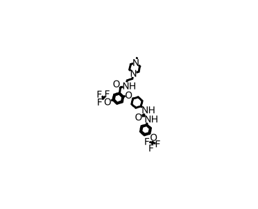 CN1CCN(CCNC(=O)c2cc(OC(F)(F)F)ccc2OC2CCC(NC(=O)Nc3cccc(OC(F)(F)F)c3)CC2)CC1